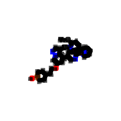 COc1ccc(CN2C3CC2CN(c2ccc(-c4cc(OCCC5CC[S+]([O-])CC5)cn5ncc(C#N)c45)cn2)C3)cn1